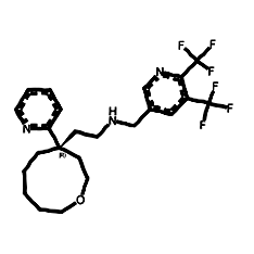 FC(F)(F)c1cc(CNCC[C@]2(c3ccccn3)CCCCCOCC2)cnc1C(F)(F)F